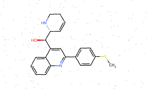 CSc1ccc(-c2cc([C@@H](O)[C@H]3C=CCCN3)c3ccccc3n2)cc1